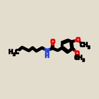 CCCCCCNC(=O)Cc1ccc(OC)c(OC)c1